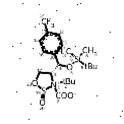 CC(C)(C)[N+]1(C(=O)[O-])[C@@H](C(O[Si](C)(C)C(C)(C)C)c2ccc(C(F)(F)F)cc2)COS1=O